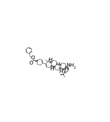 C=C(C)[C@@H]1CC[C@]2(N)CC[C@]3(C)[C@H](CC[C@@H]4[C@@]5(C)CC=C(C6=CC[C@H](C(=O)OCc7ccccc7)CC6)C(C)(C)[C@@H]5CC[C@]43C)[C@@H]12